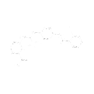 NC(=O)c1cccc(NC(Nc2ccc(NC(=O)c3ccccc3F)cc2)S(=O)(=O)O)c1